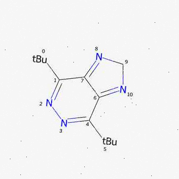 CC(C)(C)c1nnc(C(C)(C)C)c2c1=NCN=2